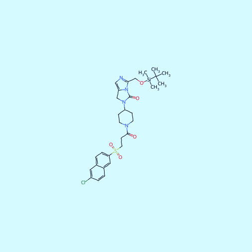 CC(C)(C)[Si](C)(C)OCc1ncc2n1C(=O)N(C1CCN(C(=O)CCS(=O)(=O)c3ccc4cc(Cl)ccc4c3)CC1)C2